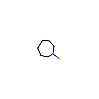 CC(=O)N1CC[CH]CCC1